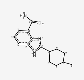 CC1CCC(c2nc3c(C(N)=O)cccc3[nH]2)CC1